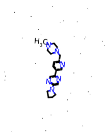 CN1CCN(Cc2ccc(-c3cnc(N4CCCC4)cn3)cn2)CC1